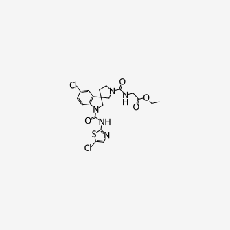 CCOC(=O)CNC(=O)N1CCC2(C1)CN(C(=O)Nc1ncc(Cl)s1)c1ccc(Cl)cc12